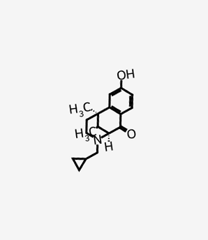 CC1[C@H]2C(=O)c3ccc(O)cc3[C@]1(C)CCN2CC1CC1